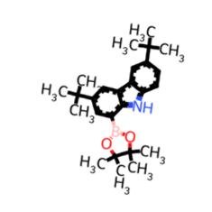 CC(C)(C)c1ccc2[nH]c3c(B4OC(C)(C)C(C)(C)O4)cc(C(C)(C)C)cc3c2c1